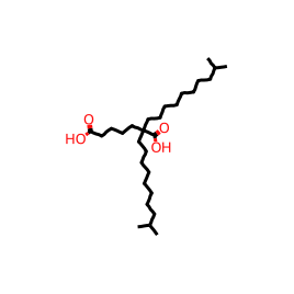 CC(C)CCCCCCCCC(CCCCCCCCC(C)C)(CCCCC(=O)O)C(=O)O